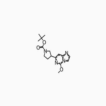 COc1nc(C2CCN(C(=O)OC(C)(C)C)C2)cc2nccn12